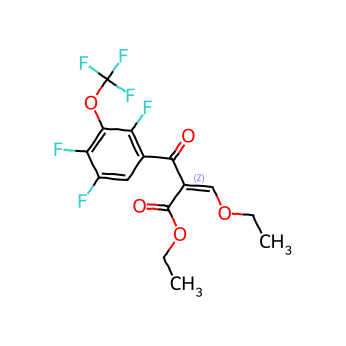 CCO/C=C(\C(=O)OCC)C(=O)c1cc(F)c(F)c(OC(F)(F)F)c1F